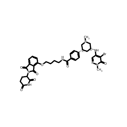 CN1C[C@H](Nc2cnn(C)c(=O)c2Br)C[C@H](c2ccc(C(=O)NCCCCOc3cccc4c3C(=O)N(C3CCC(=O)NC3=O)C4=O)cc2)C1